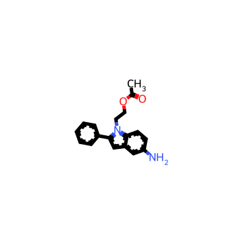 CC(=O)OCCn1c(-c2ccccc2)cc2cc(N)ccc21